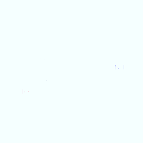 O=C(O)CC1CCNCCO1